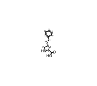 O=C(O)C1CC(SCc2cnccn2)CN1